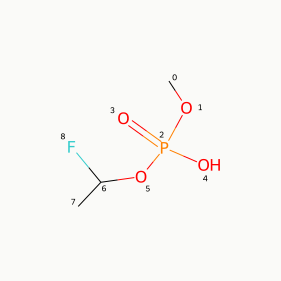 COP(=O)(O)OC(C)F